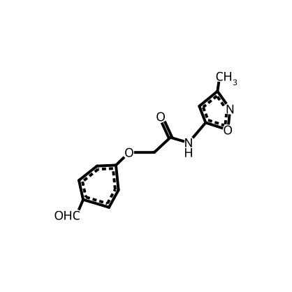 Cc1cc(NC(=O)COc2ccc(C=O)cc2)on1